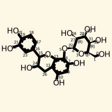 OC[C@H]1O[C@@H](Oc2c(O)cc(O)c3c2OC(c2ccc(O)c(O)c2)C(O)C3)[C@H](O)[C@@H](O)[C@H]1O